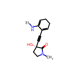 CCNC1=CC[CH]C=C1C#C[C@]1(O)CCN(C)C1=O